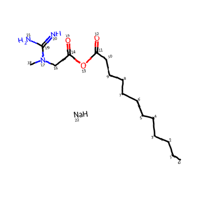 CCCCCCCCCCCC(=O)OC(=O)CN(C)C(=N)N.[NaH]